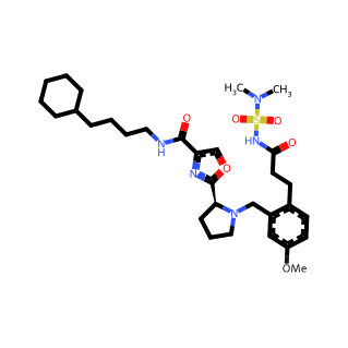 COc1ccc(CCC(=O)NS(=O)(=O)N(C)C)c(CN2CCC[C@H]2c2nc(C(=O)NCCCCC3CCCCC3)co2)c1